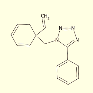 C=CC1(Cn2nnnc2-c2ccccc2)C=CC=CC1